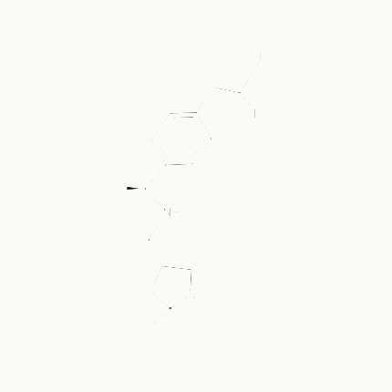 C[C@H](NCC1COC(C)(C)O1)c1ccc(OC(F)F)cc1